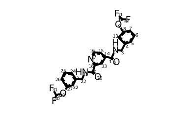 O=C(NCc1cccc(OC(F)F)c1)c1ccnc(C(=O)NCc2cccc(OC(F)F)c2)c1